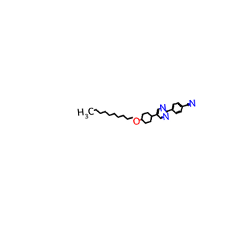 CCCCCCCCCCOC1CCC(c2cnc(-c3ccc(C#N)cc3)nc2)CC1